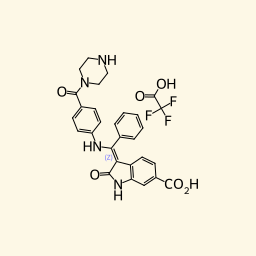 O=C(O)C(F)(F)F.O=C1Nc2cc(C(=O)O)ccc2/C1=C(/Nc1ccc(C(=O)N2CCNCC2)cc1)c1ccccc1